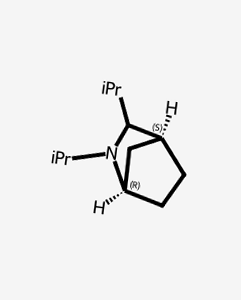 CC(C)C1[C@H]2CC[C@H](C2)N1C(C)C